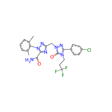 Cc1cccc(C)c1-n1nc(Cn2nc(-c3ccc(Cl)cc3)n(CCC(F)(F)F)c2=O)nc1C(N)=O